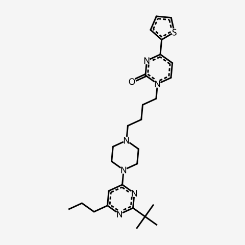 CCCc1cc(N2CCN(CCCCn3ccc(-c4cccs4)nc3=O)CC2)nc(C(C)(C)C)n1